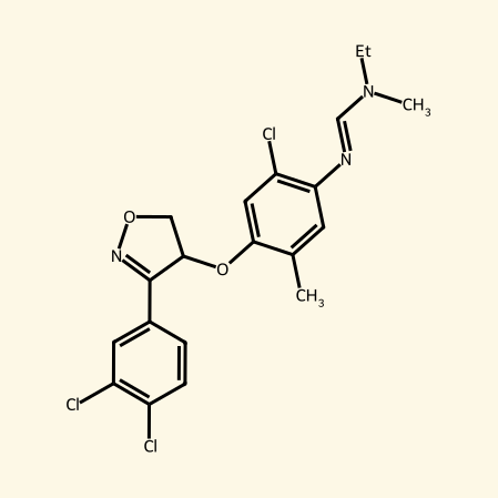 CCN(C)/C=N/c1cc(C)c(OC2CON=C2c2ccc(Cl)c(Cl)c2)cc1Cl